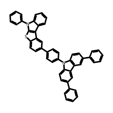 c1ccc(-c2ccc3c(c2)c2cc(-c4ccccc4)ccc2n3-c2ccc(-c3ccc4sc5c(c4c3)c3ccccc3n5-c3ccccc3)cc2)cc1